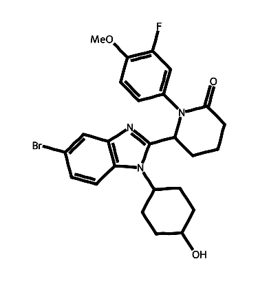 COc1ccc(N2C(=O)CCCC2c2nc3cc(Br)ccc3n2C2CCC(O)CC2)cc1F